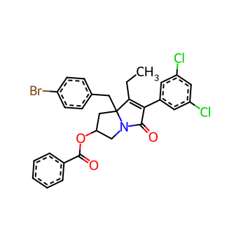 CCC1=C(c2cc(Cl)cc(Cl)c2)C(=O)N2CC(OC(=O)c3ccccc3)CC12Cc1ccc(Br)cc1